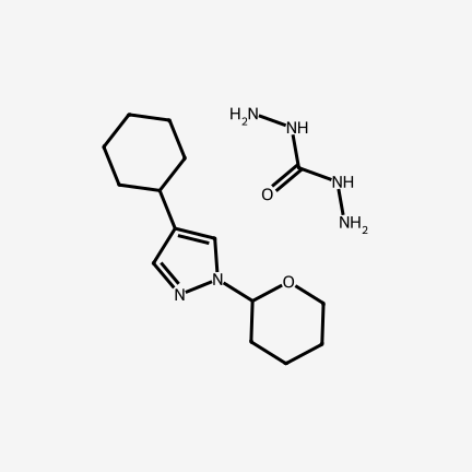 NNC(=O)NN.c1nn(C2CCCCO2)cc1C1CCCCC1